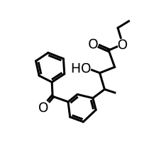 CCOC(=O)CC(O)C(C)c1cccc(C(=O)c2ccccc2)c1